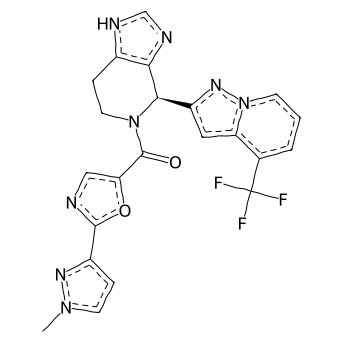 Cn1ccc(-c2ncc(C(=O)N3CCc4[nH]cnc4[C@H]3c3cc4c(C(F)(F)F)cccn4n3)o2)n1